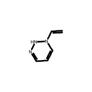 C=CN1C=CC=NN1